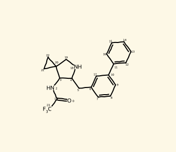 O=C(NC1C(Cc2cccc(-c3ccccc3)c2)NCC12CC2)C(F)(F)F